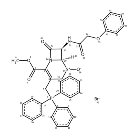 COC(=O)C1=C(C[P+](c2ccccc2)(c2ccccc2)c2ccccc2)C[S+]([O-])[C@@H]2[C@H](NC(=O)COc3ccccc3)C(=O)N12.[Br-]